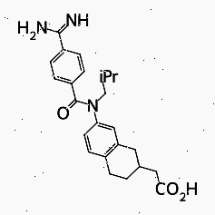 CC(C)CN(C(=O)c1ccc(C(=N)N)cc1)c1ccc2c(c1)CC(CC(=O)O)CC2